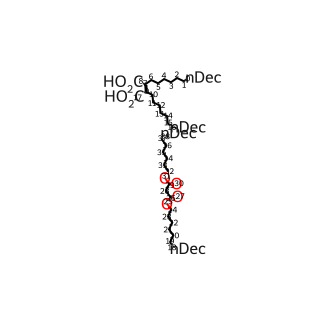 CCCCCCCCCCCCCCCC/C(C(=O)O)=C(\CCCCCCCCCCCCCCCC)C(=O)O.CCCCCCCCCCCCCCCCOC(=O)CC(=O)OCCCCCCCCCCCCCCCC